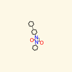 O=C1CN(c2ccc(-c3ccccc3)cc2)C(=O)N1c1ccccc1